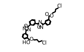 O=C(OCCCCCl)c1cccc(-c2noc(-c3cccc(-c4nc(-c5cccc(C(O)OCCCCCl)c5)no4)c3)n2)c1